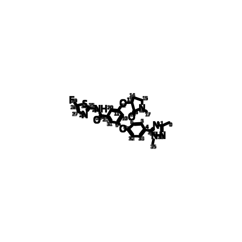 Cc1nc(-c2ccc(Oc3cc(OC4CCN(C)C4=O)cc(C(=O)Nc4ncc(F)s4)c3)cc2)n(C)n1